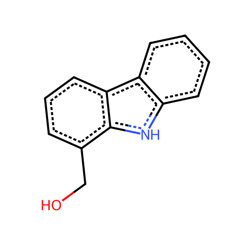 OCc1cccc2c1[nH]c1ccccc12